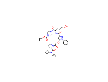 CN(C(=O)C1CCCN1C(=O)COc1cc(C(=O)NC(CCCCO)C(=O)N2CCN(C(=O)OC3CCC3)CC2)nn1-c1ccccc1)C1CCC1